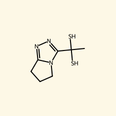 CC(S)(S)c1nnc2n1CCC2